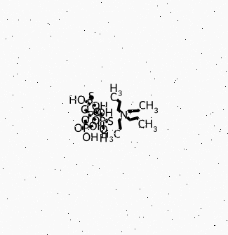 CCC[N+](CCC)(CCC)CCC.O=P(O)(O)OP(=O)(OP(O)(O)=S)OP(O)(O)=S